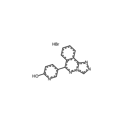 Br.Oc1ccc(-c2nn3cnnc3c3ccccc23)cn1